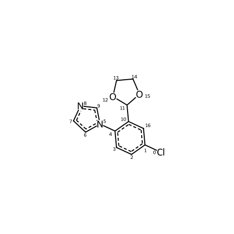 Clc1ccc(-n2ccnc2)c(C2OCCO2)c1